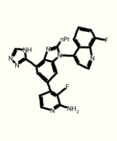 CCCc1nc2c(-c3nnc[nH]3)cc(-c3ccnc(N)c3F)cc2n1-c1ccnc2c(F)cccc12